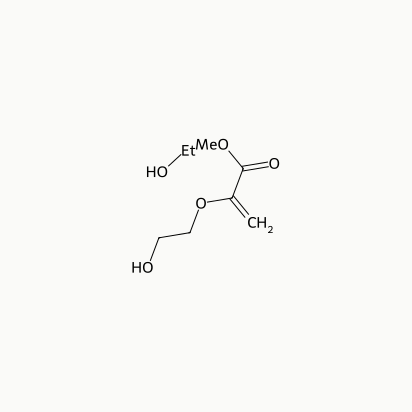 C=C(OCCO)C(=O)OC.CCO